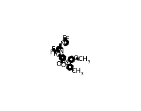 CCO[C@H]1CC[C@H](N(c2ccc(Oc3ncc(CN4CCCC(F)(F)C4)cc3C(F)(F)F)cc2C=O)C(=O)[C@H]2CC[C@H](C)CC2)CC1